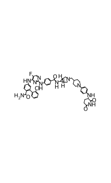 NC(=O)c1ccc(Nc2nc(Nc3ccc(C(=O)NC4[C@H]5CN(CC6CCN(c7ccc(NC8CCC(=O)NC8=O)cc7)CC6)C[C@@H]45)cc3)ncc2F)cc1-c1ccccc1Cl